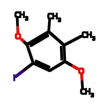 COc1cc(I)c(OC)c(C)c1C